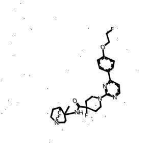 CC1(NC(=O)C2(F)CCN(c3nccc(-c4ccc(OCCF)cc4)n3)CC2)CCN2CCC1CC2